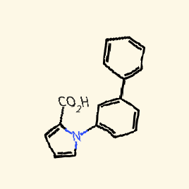 O=C(O)c1cccn1-c1cccc(-c2ccccc2)c1